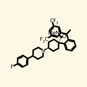 CNC(=O)[C@]1(c2ccccc2C(C)c2cc(C(F)(F)F)cc(C(F)(F)F)c2)CC[C@@H](N2CCC(c3ccc(F)cc3)CC2)CC1